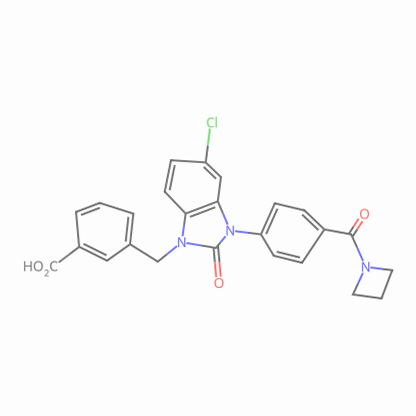 O=C(O)c1cccc(Cn2c(=O)n(-c3ccc(C(=O)N4CCC4)cc3)c3cc(Cl)ccc32)c1